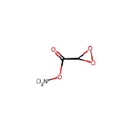 O=C(O[N+](=O)[O-])C1OO1